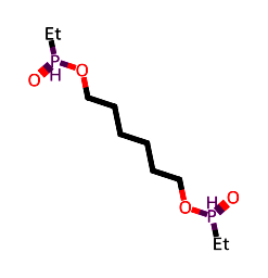 CC[PH](=O)OCCCCCCO[PH](=O)CC